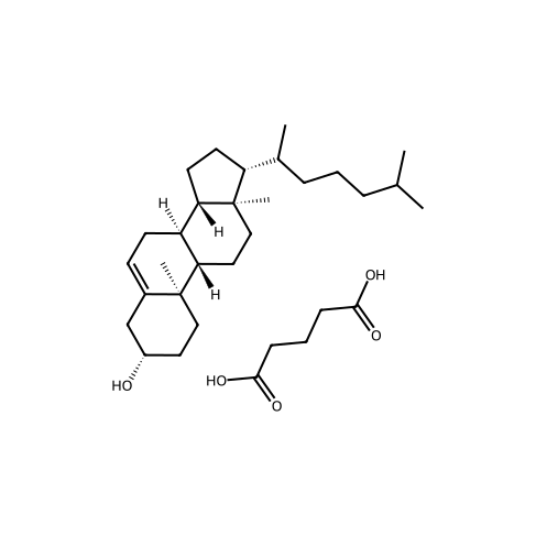 CC(C)CCCC(C)[C@H]1CC[C@H]2[C@@H]3CC=C4C[C@@H](O)CC[C@]4(C)[C@H]3CC[C@]12C.O=C(O)CCCC(=O)O